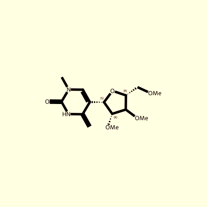 C=C1NC(=O)N(C)C=C1[C@@H]1O[C@H](COC)C(OC)[C@@H]1OC